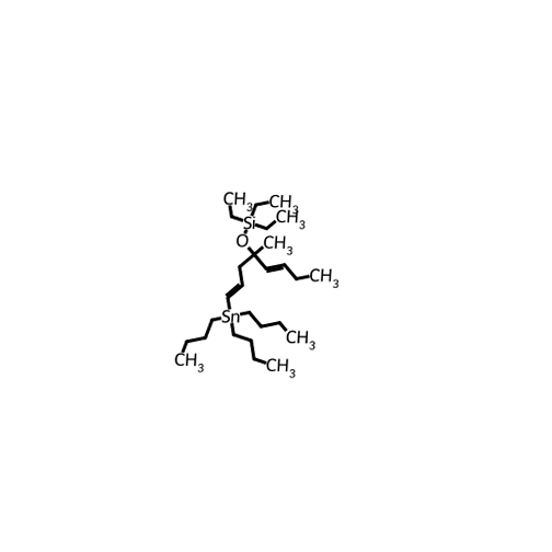 CCC=CC(C)(C/C=[CH]/[Sn]([CH2]CCC)([CH2]CCC)[CH2]CCC)O[Si](CC)(CC)CC